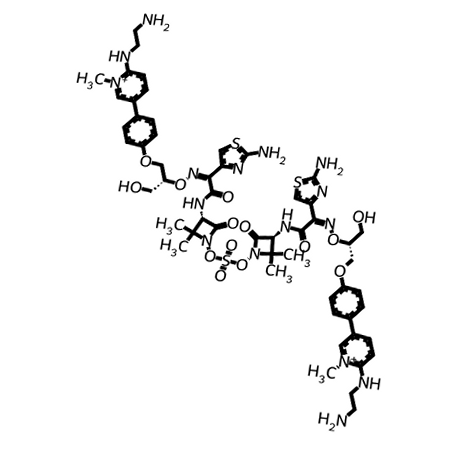 C[n+]1cc(-c2ccc(OC[C@@H](CO)O/N=C(\C(=O)N[C@@H]3C(=O)N(OS(=O)(=O)ON4C(=O)[C@@H](NC(=O)/C(=N\O[C@H](CO)COc5ccc(-c6ccc(NCCN)[n+](C)c6)cc5)c5csc(N)n5)C4(C)C)C3(C)C)c3csc(N)n3)cc2)ccc1NCCN